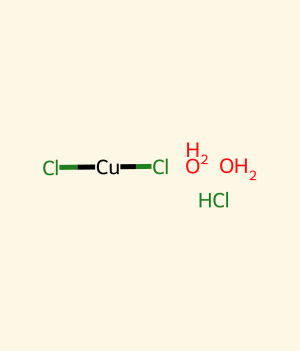 Cl.O.O.[Cl][Cu][Cl]